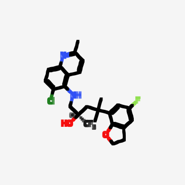 Cc1ccc2c(NC[C@](O)(CC(C)(C)c3cc(F)cc4c3OCC4)C(F)(F)F)c(Cl)ccc2n1